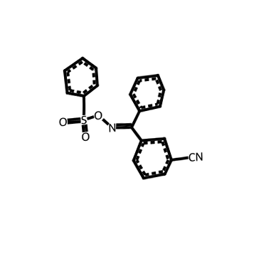 N#Cc1cccc(C(=NOS(=O)(=O)c2ccccc2)c2ccccc2)c1